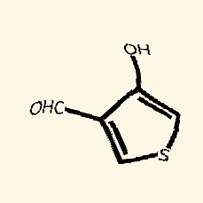 O=Cc1cscc1O